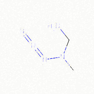 CN(CN)N=[N+]=[N-]